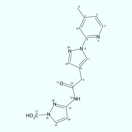 Cc1ccnc(-n2cc(CC(=O)Nc3ccn(C(=O)O)n3)cn2)c1